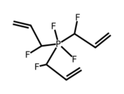 C=CC(F)P(F)(F)(C(F)C=C)C(F)C=C